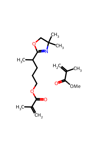 C=C(C)C(=O)OC.C=C(C)C(=O)OCCCC(C)C1=NC(C)(C)CO1